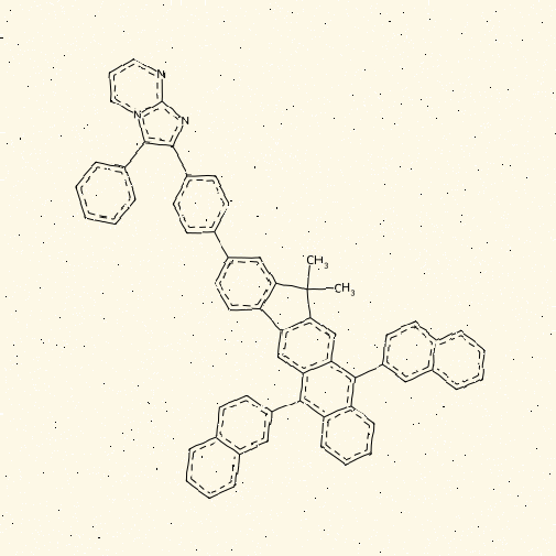 CC1(C)c2cc(-c3ccc(-c4nc5ncccn5c4-c4ccccc4)cc3)ccc2-c2cc3c(-c4ccc5ccccc5c4)c4ccccc4c(-c4ccc5ccccc5c4)c3cc21